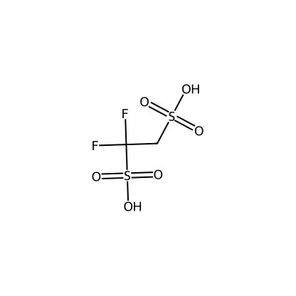 O=S(=O)(O)CC(F)(F)S(=O)(=O)O